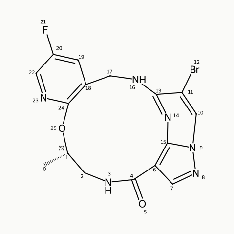 C[C@H]1CNC(=O)c2cnn3cc(Br)c(nc23)NCc2cc(F)cnc2O1